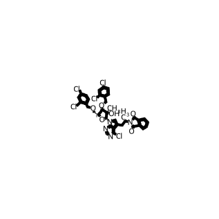 CC(Cc1cn([C@@H]2O[C@H](COCc3ccc(Cl)cc3Cl)[C@@H](OCc3ccc(Cl)cc3Cl)[C@@]2(C)O)c2ncnc(Cl)c12)N1C(=O)c2ccccc2C1=O